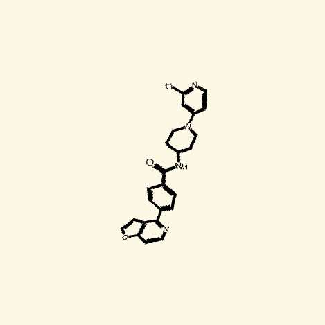 O=C(NC1CCN(c2ccnc(Cl)c2)CC1)c1ccc(-c2nccc3occc23)cc1